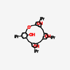 CC(C)c1cc2c(O)c(c1)Cc1cc(C(C)C)cc(c1O)Cc1cc(C(C)C)cc(c1O)Cc1cc(C(C)C)cc(c1O)COC2